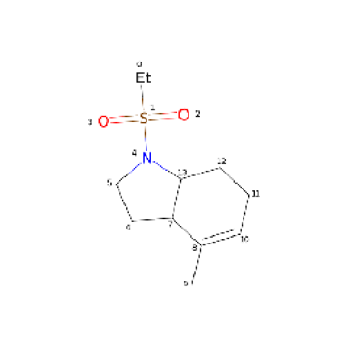 CCS(=O)(=O)N1CCC2C(C)=CCCC21